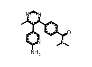 Cc1ncnc(-c2ccc(C(=O)N(C)C)cc2)c1-c1ccc(N)nc1